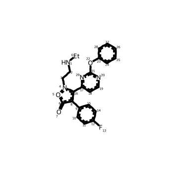 CCNCCn1oc(=O)c(-c2ccc(F)cc2)c1-c1ccnc(Oc2ccccc2)n1